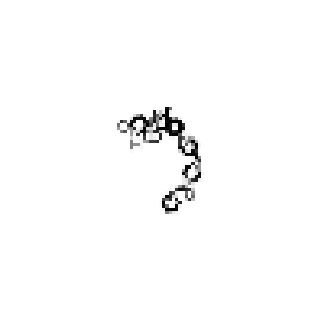 Cc1nn(C2CCC(=O)NC2=O)c(=O)c2cc(N3CCC(CN4CCN(C(=O)CN5CCCCC5)CC4)CC3)ccc12